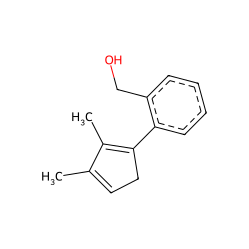 CC1=CCC(c2ccccc2CO)=C1C